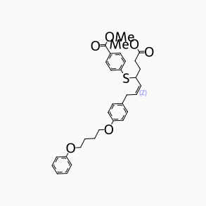 COC(=O)CCC(/C=C\Cc1ccc(OCCCCOc2ccccc2)cc1)Sc1ccc(C(=O)OC)cc1